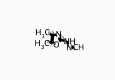 [CH]=NNc1nc(C)c(C)o1